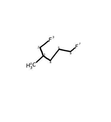 CC(CF)CCCF